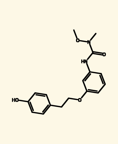 CON(C)C(=O)Nc1cccc(OCCc2ccc(O)cc2)c1